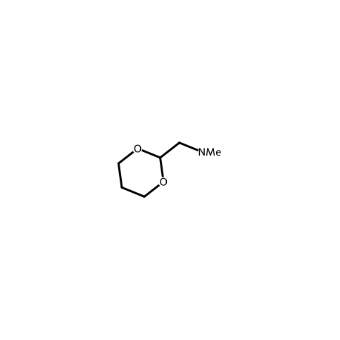 CNCC1OCCCO1